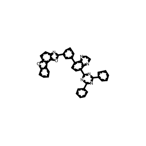 c1ccc(-c2nc(-c3ccccc3)nc(-c3ccc(-c4cccc(-c5nc6ccc7oc8ccccc8c7c6o5)c4)c4nccnc34)n2)cc1